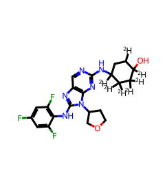 [2H]C1CC([2H])(Nc2ncc3nc(Nc4c(F)cc(F)cc4F)n(C4CCOC4)c3n2)C([2H])([2H])C([2H])([2H])C1([2H])O